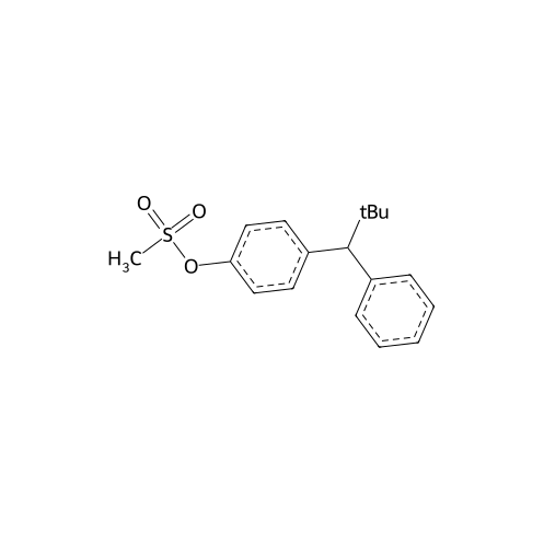 CC(C)(C)C(c1ccccc1)c1ccc(OS(C)(=O)=O)cc1